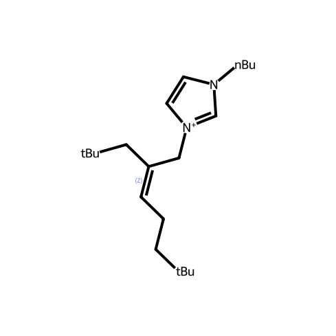 CCCCn1cc[n+](C/C(=C\CCC(C)(C)C)CC(C)(C)C)c1